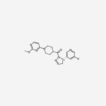 COc1nccc(N2CCC(C(=O)N3N=CC[C@H]3c3cncc(F)c3)CC2)n1